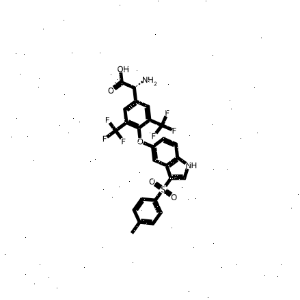 Cc1ccc(S(=O)(=O)c2c[nH]c3ccc(Oc4c(C(F)(F)F)cc([C@@H](N)C(=O)O)cc4C(F)(F)F)cc23)cc1